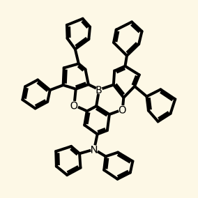 c1ccc(-c2cc3c(c(-c4ccccc4)c2)Oc2cc(N(c4ccccc4)c4ccccc4)cc4c2B3c2cc(-c3ccccc3)cc(-c3ccccc3)c2O4)cc1